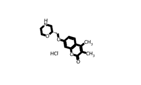 Cc1c(C)c2ccc(OC[C@H]3CNCCO3)cc2oc1=O.Cl